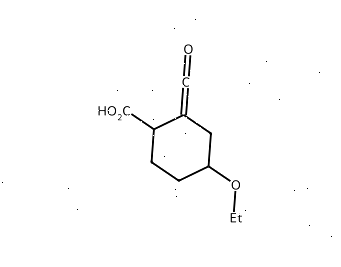 CCOC1CCC(C(=O)O)C(=C=O)C1